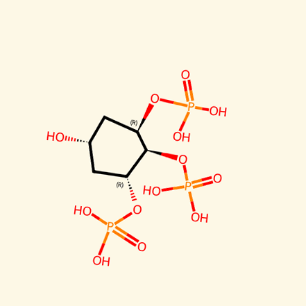 O=P(O)(O)O[C@@H]1C[C@H](O)C[C@@H](OP(=O)(O)O)[C@H]1OP(=O)(O)O